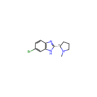 CN1CCC[C@H]1c1nc2ccc(Br)cc2[nH]1